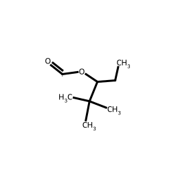 CCC(O[C]=O)C(C)(C)C